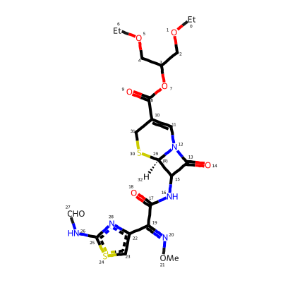 CCOCC(COCC)OC(=O)C1=CN2C(=O)C(NC(=O)C(=NOC)c3csc(NC=O)n3)[C@H]2SC1